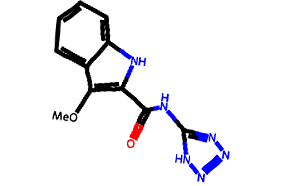 COc1c(C(=O)Nc2nnn[nH]2)[nH]c2ccccc12